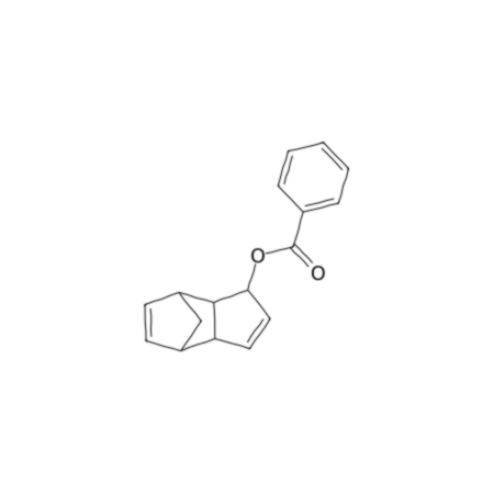 O=C(OC1C=CC2C3C=CC(C3)C12)c1ccccc1